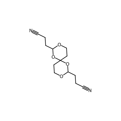 N#CCCC1OCCC2(CCOC(CCC#N)O2)O1